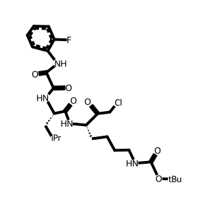 CC(C)C[C@H](NC(=O)C(=O)Nc1ccccc1F)C(=O)N[C@@H](CCCCNC(=O)OC(C)(C)C)C(=O)CCl